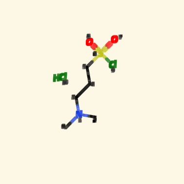 CN(C)CCCS(=O)(=O)Cl.Cl